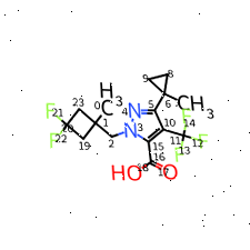 CC1(Cn2nc(C3(C)CC3)c(C(F)(F)F)c2C(=O)O)CC(F)(F)C1